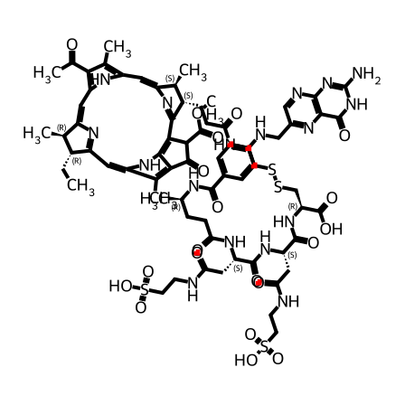 CC[C@H]1c2cc3[nH]c4c(c3C)C(=O)C(C(=O)OC)c4c3nc(cc4[nH]c(cc(n2)[C@@H]1C)c(C(C)=O)c4C)[C@@H](C)[C@@H]3CCC(=O)NCCSSC[C@H](NC(=O)[C@H](CC(=O)NCCS(=O)(=O)O)NC(=O)[C@H](CC(=O)NCCS(=O)(=O)O)NC(=O)CC[C@@H](C)NC(=O)c1ccc(NCc2cnc3nc(N)[nH]c(=O)c3n2)cc1)C(=O)O